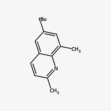 Cc1ccc2cc(C(C)(C)C)cc(C)c2n1